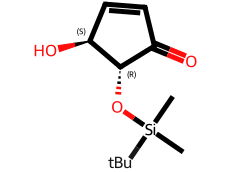 CC(C)(C)[Si](C)(C)O[C@H]1C(=O)C=C[C@@H]1O